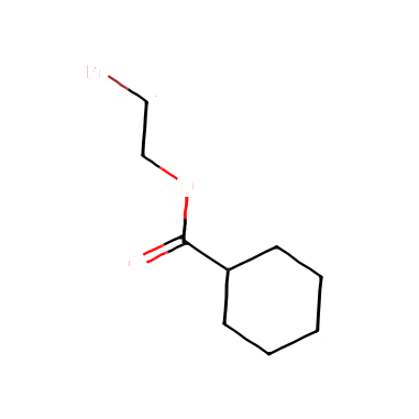 O=C(OCCBr)C1CCCCC1